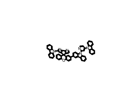 c1ccc2c(c1)Oc1ccc(-c3ccc4c(c3)c3ccccc3n4-c3cc(-n4c5ccccc5c5ccccc54)ccn3)cc1C21c2cccnc2-c2ncc(-n3c4ccccc4c4ccccc43)cc21